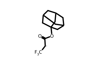 O=C([CH]C(F)(F)F)OC12CC3CC(CC(C3)C1)C2